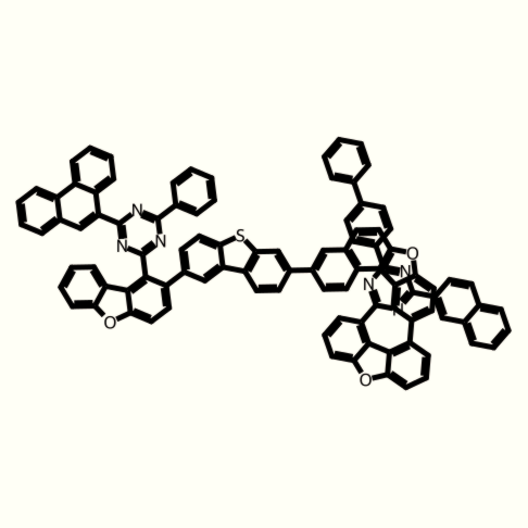 c1ccc(-c2ccc(-c3nc(-c4ccc5ccccc5c4)nc(-c4cccc5oc6cccc(-c7ccc8oc9ccc%10cc(-c%11ccc%12c(c%11)sc%11ccc(-c%13ccc%14oc%15ccccc%15c%14c%13-c%13nc(-c%14ccccc%14)nc(-c%14cc%15ccccc%15c%15ccccc%14%15)n%13)cc%11%12)ccc%10c9c8c7)c6c45)n3)cc2)cc1